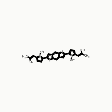 CCCn1c(/C=C(/C)C#N)ccc1-c1cc2cc3sc(-c4ccc(/C=C(/C)N=O)n4CCC)cc3cc2s1